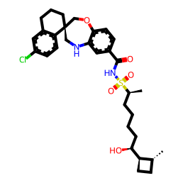 C[C@@H]1CC[C@H]1[C@@H](O)CCCC[C@H](C)S(=O)(=O)NC(=O)c1ccc2c(c1)NC[C@@]1(CCCc3cc(Cl)ccc31)CO2